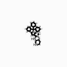 F[C@@H]1CCNC[C@@H]1Nc1ncnc2c1ccn2C(c1ccccc1)(c1ccccc1)c1ccccc1